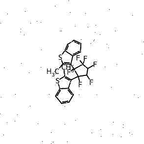 Cc1sc2ccccc2c1C1(F)C(F)C(F)C(F)(F)C1(F)c1c(C)sc2ccccc12